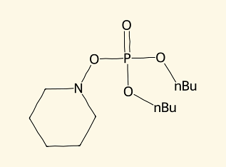 CCCCOP(=O)(OCCCC)ON1CCCCC1